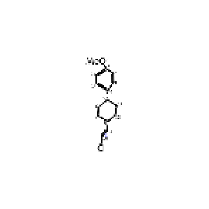 COc1ccc([C@H]2CC[C@H](/C=C/Cl)CC2)cc1